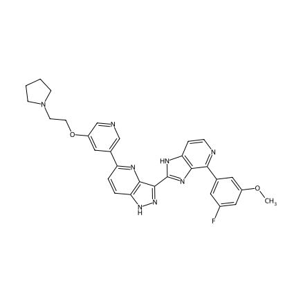 COc1cc(F)cc(-c2nccc3[nH]c(-c4n[nH]c5ccc(-c6cncc(OCCN7CCCC7)c6)nc45)nc23)c1